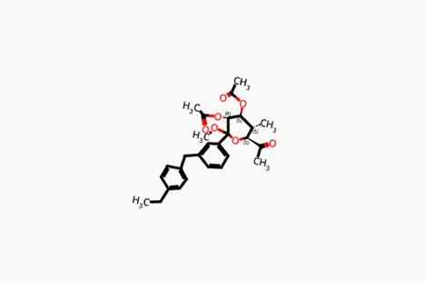 CCc1ccc(Cc2cccc(C3(OC)O[C@H](C(C)=O)[C@@H](C)[C@H](OC(C)=O)[C@H]3OC(C)=O)c2)cc1